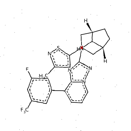 Cc1cc(N2C[C@H]3CC[C@@H](C2)C3Nc2nc3c(-c4cc(F)cc(C(F)(F)F)c4)cccn3n2)sn1